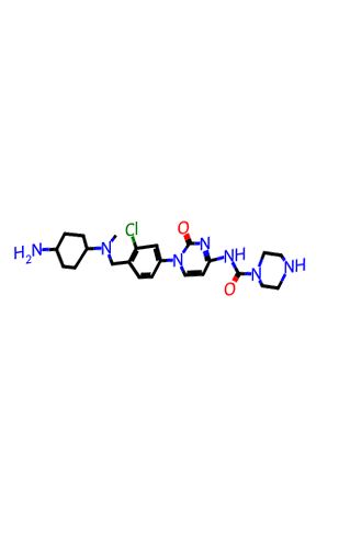 CN(Cc1ccc(-n2ccc(NC(=O)N3CCNCC3)nc2=O)cc1Cl)C1CCC(N)CC1